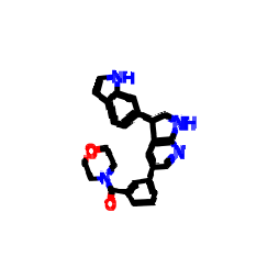 O=C(c1cccc(-c2cnc3c(c2)C(c2ccc4cc[nH]c4c2)CN3)c1)N1CCOCC1